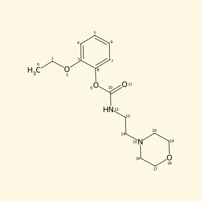 CCOc1ccccc1OC(=O)NCCN1CCOCC1